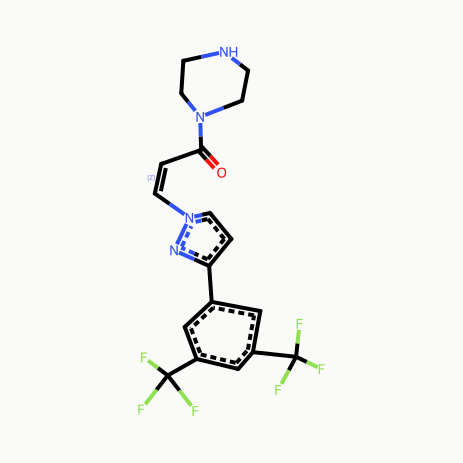 O=C(/C=C\n1ccc(-c2cc(C(F)(F)F)cc(C(F)(F)F)c2)n1)N1CCNCC1